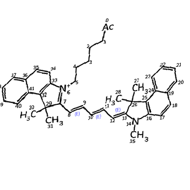 CC(=O)CCCCC[N+]1=C(/C=C/C=C/C=C2/N(C)c3ccc4ccccc4c3C2(C)C)C(C)(C)c2c1ccc1ccccc21